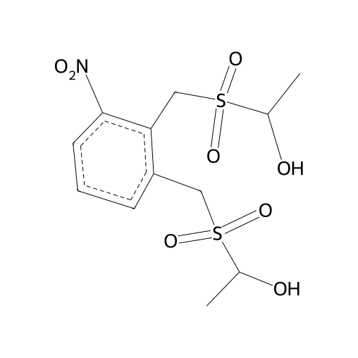 CC(O)S(=O)(=O)Cc1cccc([N+](=O)[O-])c1CS(=O)(=O)C(C)O